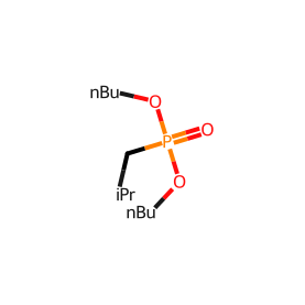 CCCCOP(=O)(CC(C)C)OCCCC